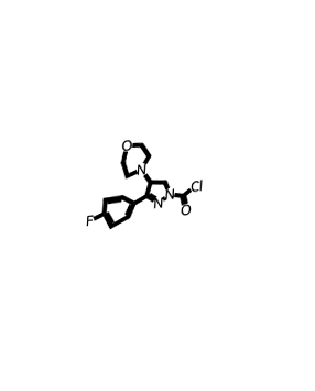 O=C(Cl)N1CC(N2CCOCC2)C(c2ccc(F)cc2)=N1